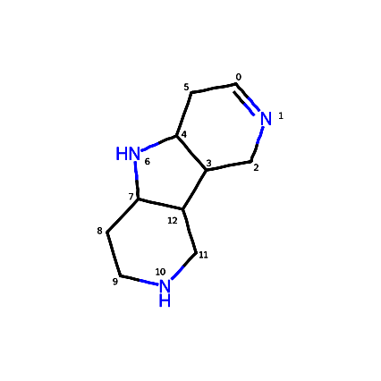 C1=NCC2C(C1)NC1CCNCC12